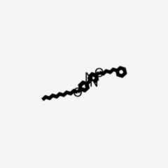 CCCCCCCCCCOc1ccc(-c2ncc(OCCCCC3CCCCC3)cn2)cc1